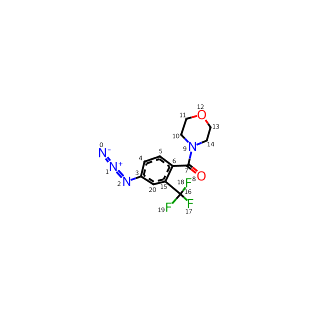 [N-]=[N+]=Nc1ccc(C(=O)N2CCOCC2)c(C(F)(F)F)c1